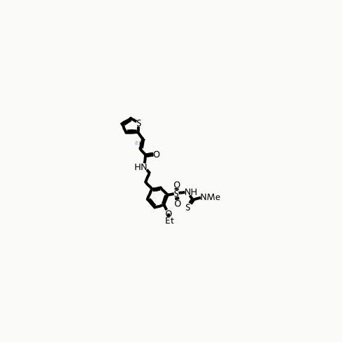 CCOc1ccc(CCNC(=O)/C=C/c2cccs2)cc1S(=O)(=O)NC(=S)NC